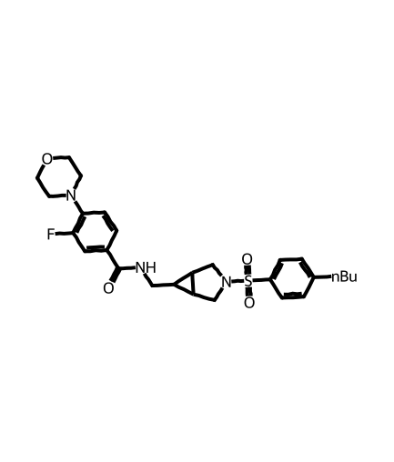 CCCCc1ccc(S(=O)(=O)N2CC3C(CNC(=O)c4ccc(N5CCOCC5)c(F)c4)C3C2)cc1